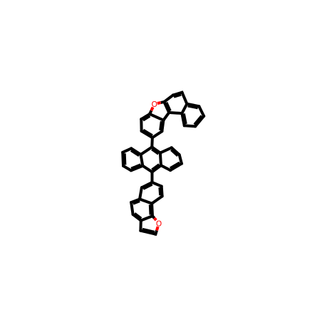 c1ccc2c(c1)ccc1oc3ccc(-c4c5ccccc5c(-c5ccc6c(ccc7ccoc76)c5)c5ccccc45)cc3c12